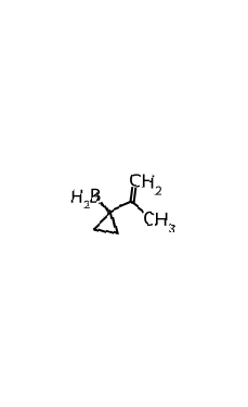 BC1(C(=C)C)CC1